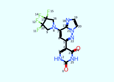 O=c1[nH]cc(-c2cc(N3CC(F)(F)C(F)(F)C3)c3nccn3n2)c(=O)[nH]1